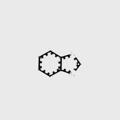 [S].c1ccc2[nH]cnc2c1